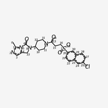 Cc1ncc2n1C(=O)N(C1CCN(C(=O)CCS(=O)(=O)c3ccc4cc(Cl)ccc4c3)CC1)C2